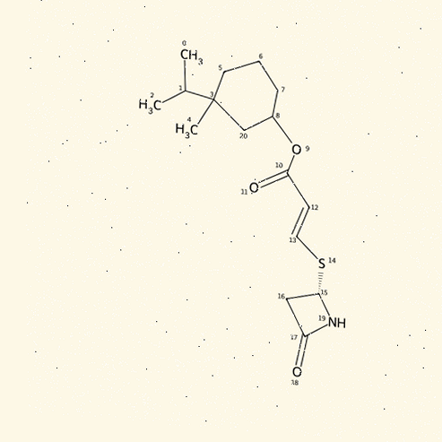 CC(C)C1(C)CCCC(OC(=O)C=CS[C@H]2CC(=O)N2)C1